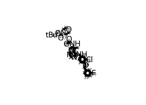 Cc1c(NC(=O)OC[C@H]2COCCN2C(=O)OC(C)(C)C)cn2ncnc(Nc3ccc(OCc4cccc(F)c4)c(Cl)c3)c12